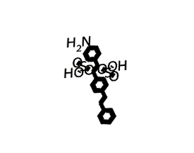 Nc1ccc(C=Cc2ccc(C=Cc3ccccc3)cc2S(=O)(=O)O)c(S(=O)(=O)O)c1